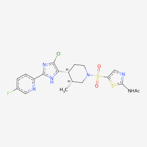 CC(=O)Nc1ncc(S(=O)(=O)N2CC[C@@H](c3[nH]c(-c4ccc(F)cn4)nc3Cl)[C@@H](C)C2)s1